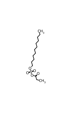 CCCCCCCCCCCCOS(=O)(=O)OC(=O)CC